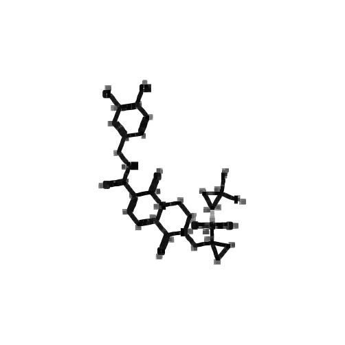 N#Cc1ccc(CNC(=O)c2ccc3n(c2=O)CCN(CC2(S(=O)(=O)[C@@H]4CC4(F)F)CC2)C3=O)cc1Cl